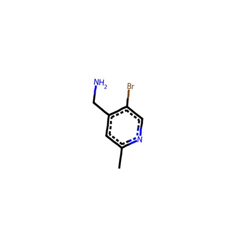 Cc1cc(CN)c(Br)cn1